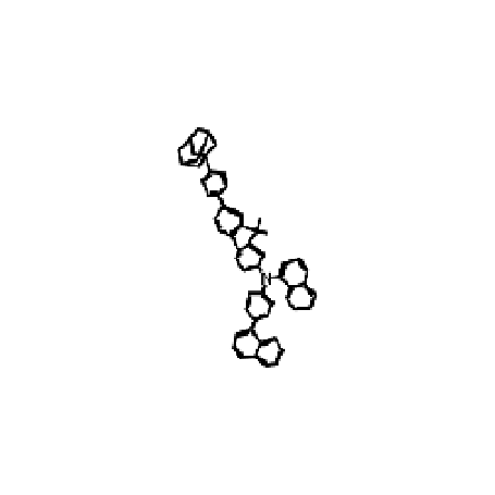 CC1(C)c2cc(-c3ccc(C45CC6CC(CC(C6)C4)C5)cc3)ccc2-c2ccc(N(c3ccc(-c4cccc5ccccc45)cc3)c3cccc4ccccc34)cc21